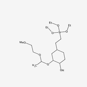 CCO[Si](CCC1CCC(O)C(OC(C)OCCOC)C1)(OCC)OCC